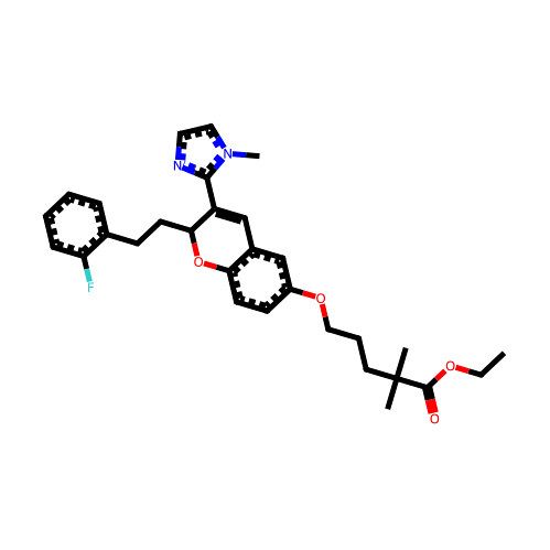 CCOC(=O)C(C)(C)CCCOc1ccc2c(c1)C=C(c1nccn1C)C(CCc1ccccc1F)O2